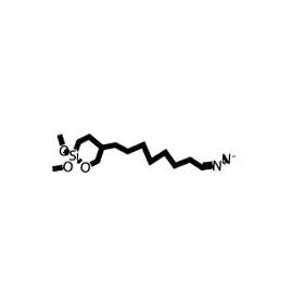 CO[Si]1(OC)CCC(CCCCCCCC=[N+]=[N-])CO1